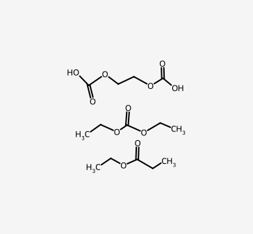 CCOC(=O)CC.CCOC(=O)OCC.O=C(O)OCCOC(=O)O